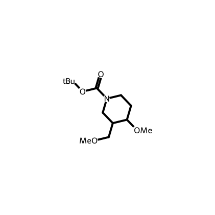 COCC1CN(C(=O)OC(C)(C)C)CCC1OC